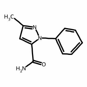 Cc1cc(C(N)=O)n(-c2ccccc2)n1